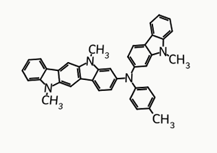 Cc1ccc(N(c2ccc3c4ccccc4n(C)c3c2)c2ccc3c4cc5c(cc4n(C)c3c2)c2ccccc2n5C)cc1